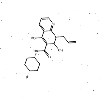 C=CCN1c2ncccc2C(O)=C(C(=O)N[C@H]2CC[C@@H](F)CC2)C1O